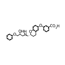 O=C(O)c1cccc(Oc2ccc3c(c2)CC[C@H](CNC[C@H](O)COc2ccccc2)O3)c1